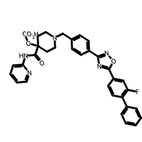 O=C(O)OC1(C(=O)Nc2ccccn2)CCN(Cc2ccc(-c3noc(-c4ccc(-c5ccccc5)c(F)c4)n3)cc2)CC1